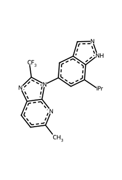 Cc1ccc2nc(C(F)(F)F)n(-c3cc(C(C)C)c4[nH]ncc4c3)c2n1